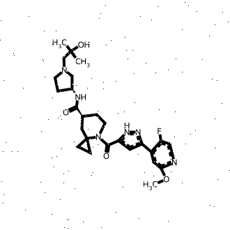 COc1cc(-c2cc(C(=O)N3CC[C@H](C(=O)N[C@@H]4CCN(CC(C)(C)O)C4)CC34CC4)[nH]n2)c(F)cn1